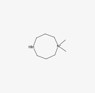 C[N+]1(C)CC[CH2][InH][CH2]CC1